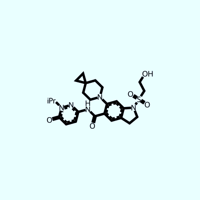 CC(C)n1nc(NC(=O)c2cc3c(cc2N2CCC4(CC2)CC4)N(S(=O)(=O)CCO)CC3)ccc1=O